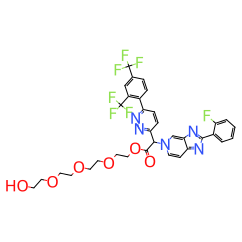 O=C(OCCOCCOCCOCCO)C(c1ccc(-c2ccc(C(F)(F)F)cc2C(F)(F)F)nn1)n1ccc2nc(-c3ccccc3F)nc-2c1